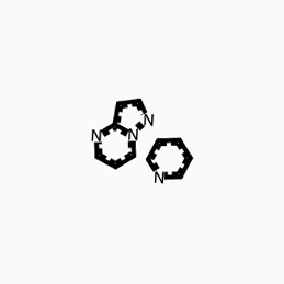 c1ccncc1.c1cnc2ccnn2c1